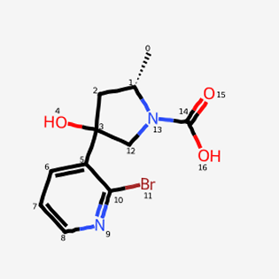 C[C@H]1CC(O)(c2cccnc2Br)CN1C(=O)O